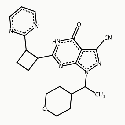 CC(C1CCOCC1)n1nc(C#N)c2c(=O)[nH]c(C3CCC3c3ncccn3)nc21